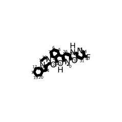 Cn1cc(-c2cccc(N3CCn4c(cc5c4CCCC5)C3=O)c2CO)cc(Nc2ccc(F)cn2)c1=O